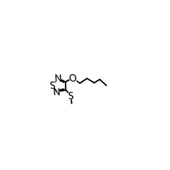 CCCCCOc1nsnc1SC